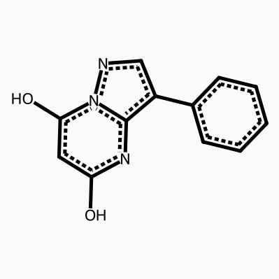 Oc1cc(O)n2ncc(-c3ccccc3)c2n1